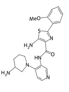 COc1ccccc1-c1nc(C(=O)Nc2cnccc2N2CCCC(N)C2)c(N)s1